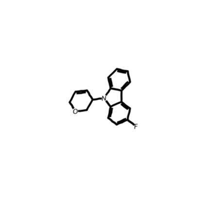 Fc1ccc2c(c1)c1ccccc1n2C1C=CCOC1